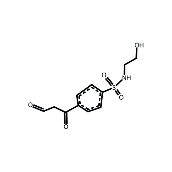 O=CCC(=O)c1ccc(S(=O)(=O)NCCO)cc1